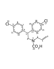 C=CCN(CC(c1ccc(Cl)cc1)c1ccc(Cl)cc1)C(=O)O